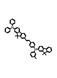 Cc1cccc(N(c2ccc(/C=C/c3ccc4c(c3)C(C)(C)c3cc(N(c5ccccc5)c5ccccc5)ccc3-4)cc2)c2ccc3c(c2)C(C)(C)c2ccccc2-3)c1